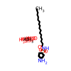 CCCCCCCCCCCCCCCCCC(=O)NS(=O)(=O)c1ccc(N)cc1.O.O.O.O.O.O.[AlH3]